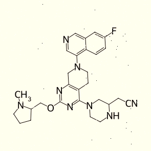 CN1CCCC1COc1nc2c(c(N3CCNC(CC#N)C3)n1)CCN(c1cncc3cc(F)ccc13)C2